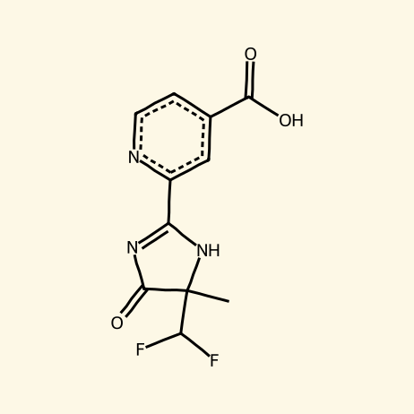 CC1(C(F)F)NC(c2cc(C(=O)O)ccn2)=NC1=O